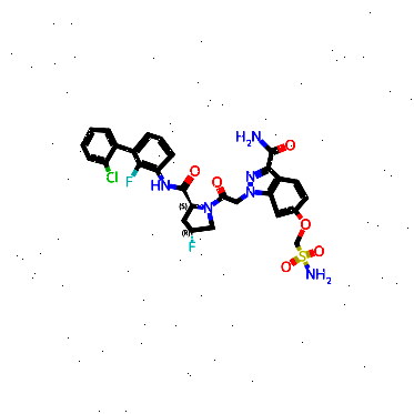 NC(=O)c1nn(CC(=O)N2C[C@H](F)C[C@H]2C(=O)Nc2cccc(-c3ccccc3Cl)c2F)c2cc(OCS(N)(=O)=O)ccc12